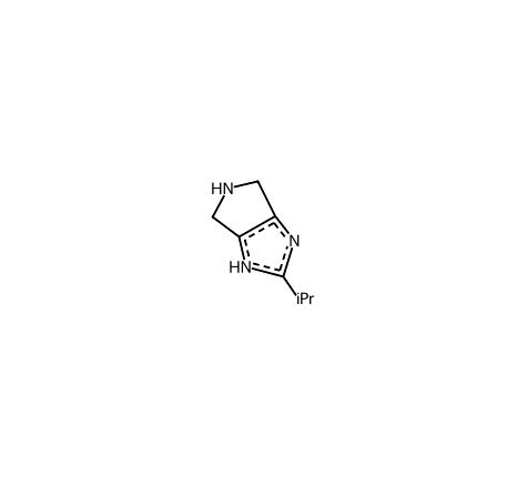 CC(C)c1nc2c([nH]1)CNC2